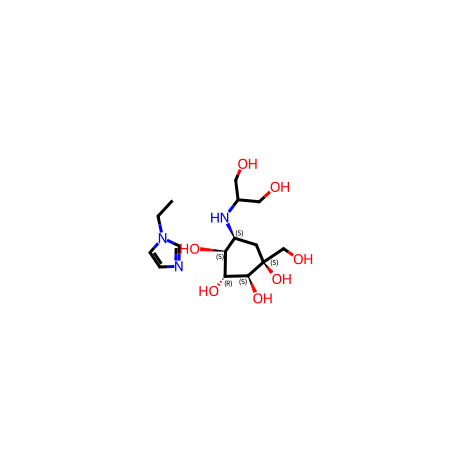 CCn1ccnc1.OCC(CO)N[C@H]1C[C@](O)(CO)[C@@H](O)[C@H](O)[C@H]1O